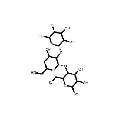 CC1O[C@@H](OC2C(O)CC(CO)O[C@H]2O[C@@H]2C(CO)OC(O)C(O)C2O)C(O)C(O)[C@@H]1O